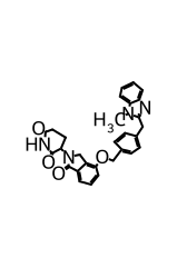 Cn1c(Cc2ccc(COc3cccc4c3CN(C3CCC(=O)NC3=O)C4=O)cc2)nc2ccccc21